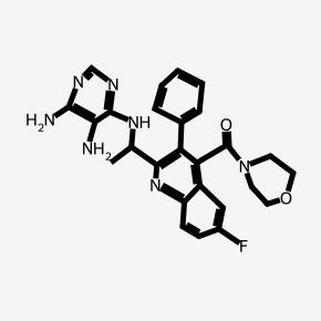 CC(Nc1ncnc(N)c1N)c1nc2ccc(F)cc2c(C(=O)N2CCOCC2)c1-c1ccccc1